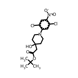 CC(C)(C)OC(=O)CC1(O)CCN(c2cc(Cl)c([N+](=O)[O-])cc2Cl)CC1